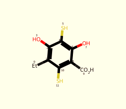 CCc1c(O)c(S)c(O)c(C(=O)O)c1S